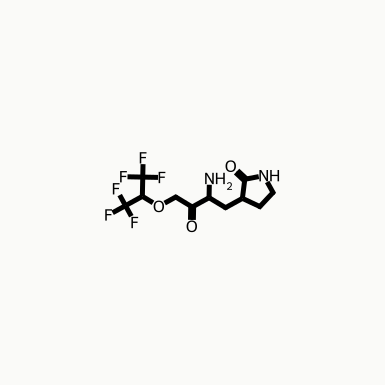 NC(CC1CCNC1=O)C(=O)COC(C(F)(F)F)C(F)(F)F